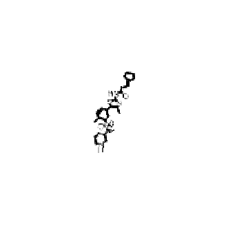 Cc1ccc(-c2sc(NC(=O)CCC3CCCC3)nc2C)cc1S(=O)(=O)NC1CCCNC1